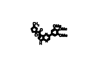 C=C1CCC(C)(C(=O)c2c[nH]c3ncc(-c4cc(OC)c(OC)c(OC)c4)nc23)C1